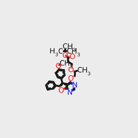 COc1ccc(-c2c(-c3ccccc3)oc3ncnc(OCC(C)OCCC(=O)OC(C)(C)C)c23)cc1